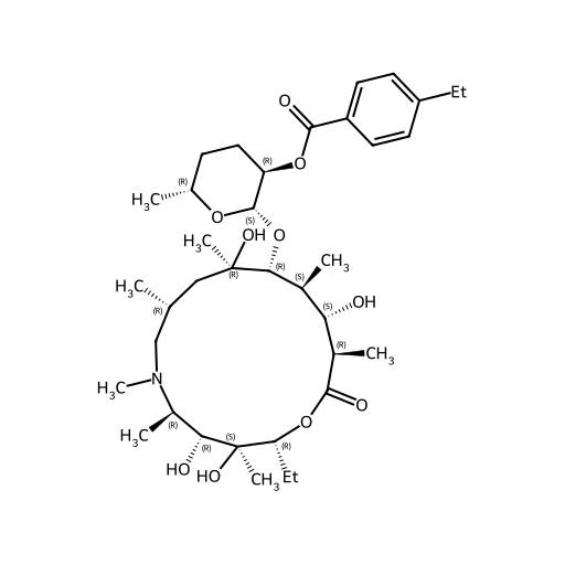 CCc1ccc(C(=O)O[C@@H]2CC[C@@H](C)O[C@H]2O[C@@H]2[C@@H](C)[C@H](O)[C@@H](C)C(=O)O[C@H](CC)[C@@](C)(O)[C@H](O)[C@@H](C)N(C)C[C@H](C)C[C@@]2(C)O)cc1